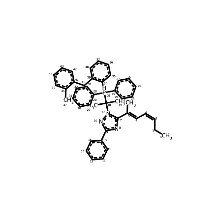 CC/C=C\C=C(/C)c1nc(-c2ccccc2)nn1C(C)(C)[PH](c1ccccc1)(c1ccccc1)c1ccccc1Cc1ccccc1C